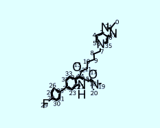 Cc1nc2ccn(CCCCCC(=O)c3c(C(=O)N(C)C)[nH]c4cc(-c5ccc(F)cc5)ccc34)cc-2n1